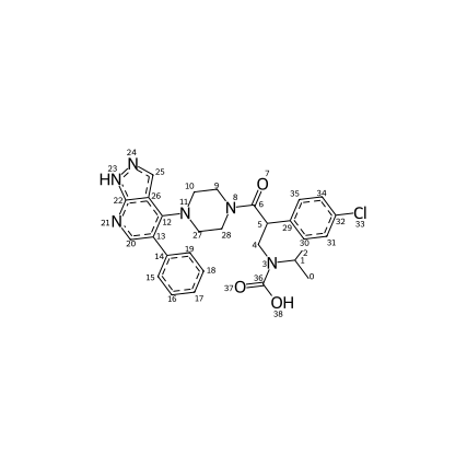 CC(C)N(CC(C(=O)N1CCN(c2c(-c3ccccc3)cnc3[nH]ncc23)CC1)c1ccc(Cl)cc1)C(=O)O